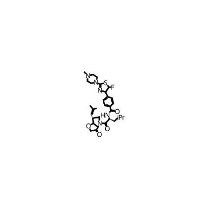 CC(C)=C[C@@H]1CN(C(=O)[C@H](CC(C)C)NC(=O)c2ccc(C3N=C(N4CCN(C)CC4)SC3F)cc2)C2C(=O)COC21